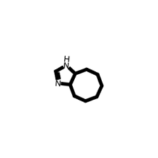 C1=NC2CCCCCCC2N1